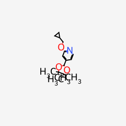 CC1(C)OC(c2ccnc(OCC3CC3)c2)OC1(C)C